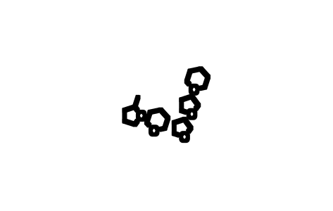 C1CCOC1.C1CCOC1.C1CCOCC1.C1CCOCC1.CC1CCCO1